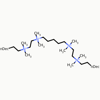 CCCCCCCCCCCC[N+](C)(C)CC[N+](C)(C)CCCCC[N+](C)(C)CC[N+](C)(C)CCCCCCCCCCCC